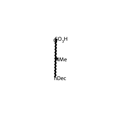 CCCCCCCCCCCCCCCCCCCCCCCCCCCCCCCCCCOS(=O)(=O)O.CNC